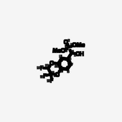 COP(=O)(OC)C(O)c1ccc2c(c1)OC(F)C(F)(F)O2